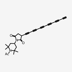 C#CC#CC#CC#CC#CC#CC1CC(=O)N(C2CC(C)(C)N(C(C)=O)C(C)(C)C2)C1=O